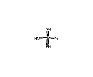 [3H]S(O)(=P)=P